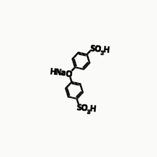 O=S(=O)(O)c1ccc(Oc2ccc(S(=O)(=O)O)cc2)cc1.[NaH]